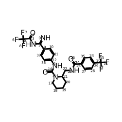 N=C(NC(=O)C(F)(F)F)c1ccc(NC(=O)N2CCCCC2CNC(=O)c2ccc(C(F)(F)F)cc2)cc1